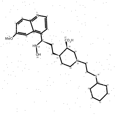 COc1ccc2nccc([C@@H](CC[C@@H]3CCN(CCSC4CCCCC4)C[C@@H]3C(=O)O)NO)c2c1